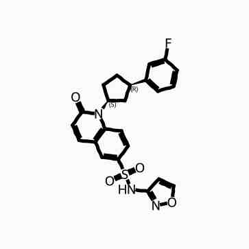 O=c1ccc2cc(S(=O)(=O)Nc3ccon3)ccc2n1[C@H]1CC[C@@H](c2cccc(F)c2)C1